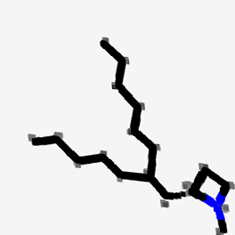 CCCCCCC(CCCCC)C[C@@H]1CCN1C